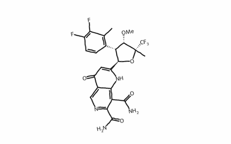 CO[C@H]1[C@@H](c2ccc(F)c(F)c2C)[C@H](c2cc(=O)c3cnc(C(N)=O)c(C(N)=O)c3[nH]2)O[C@@]1(C)C(F)(F)F